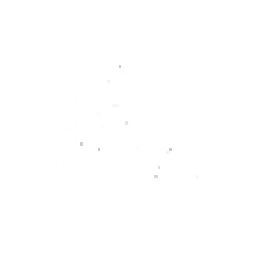 Cc1nc(N)c2c(C(N)=O)cn([C@@H]3O[C@H](CO)[C@@H](O)C3(F)F)c2n1